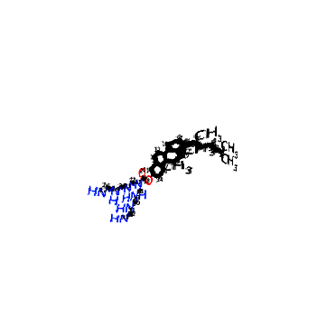 CC(C)CCCC(C)C1CCC2C3CC=C4CC(OC(=O)N(CNCNC=N)CNCNC=N)CCC4(C)C3CCC12C